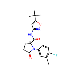 Cc1cc(N2C(=O)CC[C@H]2C(=O)Nc2cc(C(C)(C)C)on2)ccc1F